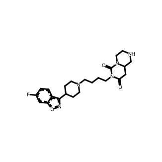 O=C1CC2CNCCN2C(=O)N1CCCCN1CCC(c2noc3cc(F)ccc23)CC1